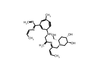 C=N/C(=N\C=C/C)C1=CC(NCC(=C)/N=C(\C=C/C)CN2C[C@H](O)[C@@H](O)C[C@H]2CO)C#CC(C)=C1